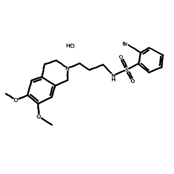 COc1cc2c(cc1OC)CN(CCCNS(=O)(=O)c1ccccc1Br)CC2.Cl